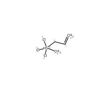 C=CC[SH](C)(Cl)(Cl)Cl